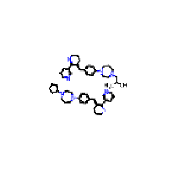 C(=C1CCCN=C1c1cccnc1)c1ccc(N2CCCN(C3CCCC3)CC2)cc1.CC(C)CN1CCCN(c2ccc(C=C3CCCN=C3c3cccnc3)cc2)CC1